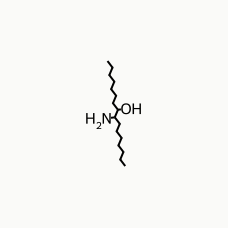 CCCCCCCC(N)C(O)CCCCCCC